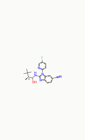 C[C@H](C(O)Nc1nc2ccc(C#N)cc2n1-c1ccc(F)cn1)C(C)(C)C